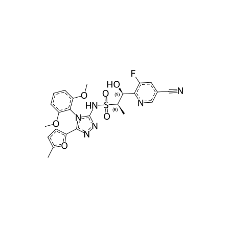 COc1cccc(OC)c1-n1c(NS(=O)(=O)[C@H](C)[C@@H](O)c2ncc(C#N)cc2F)nnc1-c1ccc(C)o1